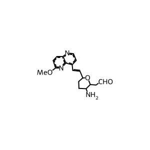 COc1ccc2nccc(C=CC3CCC(N)C(CC=O)O3)c2n1